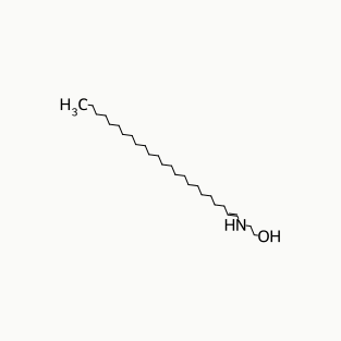 CCCCCCCCCCCCCCCCCCCCCCC=CNCCO